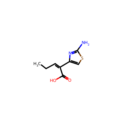 CCC=C(C(=O)O)c1csc(N)n1